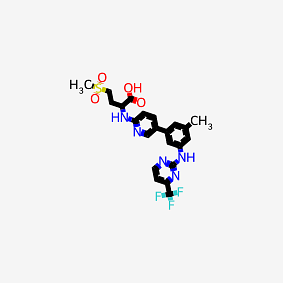 Cc1cc(Nc2nccc(C(F)(F)F)n2)cc(-c2ccc(NC(CCS(C)(=O)=O)C(=O)O)nc2)c1